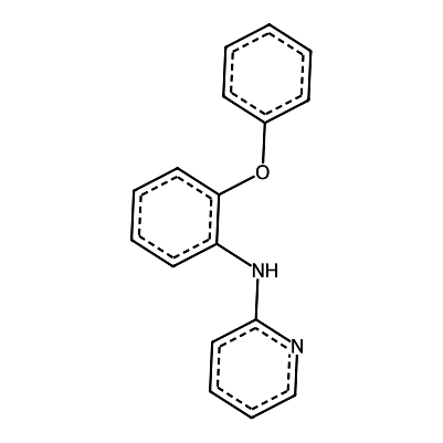 c1ccc(Oc2ccccc2Nc2ccccn2)cc1